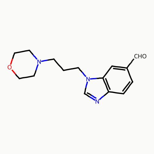 O=Cc1ccc2ncn(CCCN3CCOCC3)c2c1